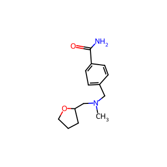 CN(Cc1ccc(C(N)=O)cc1)CC1CCCO1